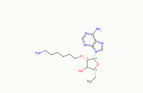 CC[C@H]1O[C@@H](n2cnc3c(N)ncnc32)[C@@H](OCCCCCCN)C1O